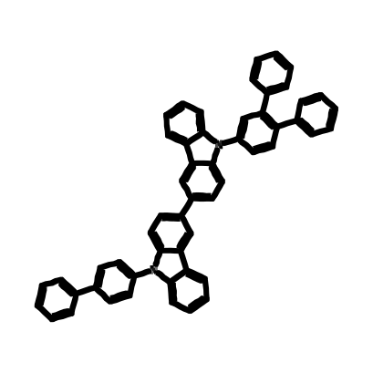 c1ccc(-c2ccc(-n3c4ccccc4c4cc(-c5ccc6c(c5)c5ccccc5n6-c5ccc(-c6ccccc6)c(-c6ccccc6)c5)ccc43)cc2)cc1